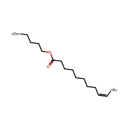 CCCC/C=C\CCCCCCCC(=O)OCCCCCCCCCCCCCC